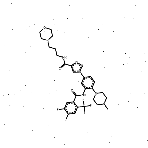 CN1CCN(c2ccc(-n3cc(C(=O)NCCCN4CCOCC4)nn3)cc2NC(=O)c2cc(F)c(F)cc2C(F)(F)F)CC1